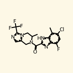 Cc1c(Cl)cc(F)c2nc(C(=O)N3Cc4cnc(C(F)(F)F)n4CC3C)[nH]c12